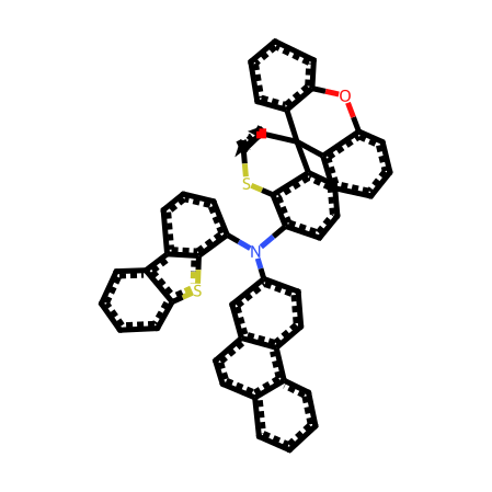 c1ccc2c(c1)Oc1ccccc1C21c2ccccc2Sc2c(N(c3ccc4c(ccc5ccccc54)c3)c3cccc4c3sc3ccccc34)cccc21